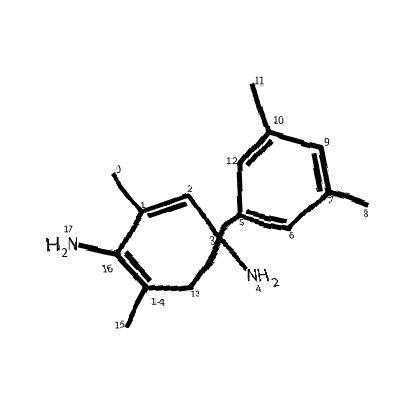 CC1=CC(N)(c2cc(C)cc(C)c2)CC(C)=C1N